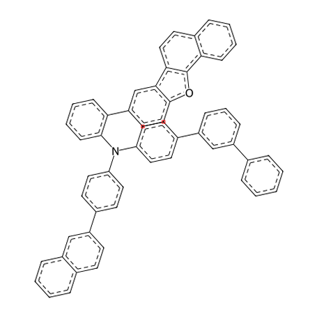 c1ccc(-c2cccc(-c3ccc(N(c4ccc(-c5ccc6ccccc6c5)cc4)c4ccccc4-c4ccc5oc6c7ccccc7ccc6c5c4)cc3)c2)cc1